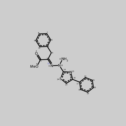 COC(=O)/C(Cc1ccccc1)=N/N(N)c1nc(-c2ccccc2)cs1